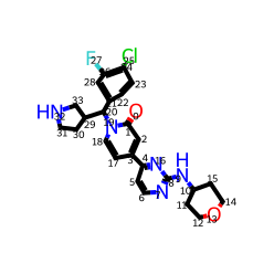 O=c1cc(-c2ccnc(NC3CCOCC3)n2)ccn1C(c1ccc(Cl)c(F)c1)C1CCNC1